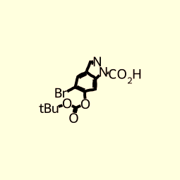 CC(C)(C)OC(=O)Oc1cc2c(cnn2C(=O)O)cc1Br